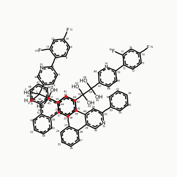 BC(O)(c1ccc(-c2ccc(F)cc2F)nc1)C(O)(O)c1cc(-c2ccccc2-c2cnc(-c3ccccc3)cc2-c2ccc3c4ccccc4c4ccccc4c3c2)cc(C(O)(O)C(O)(O)c2ccc(-c3ccc(F)cc3F)nc2)c1